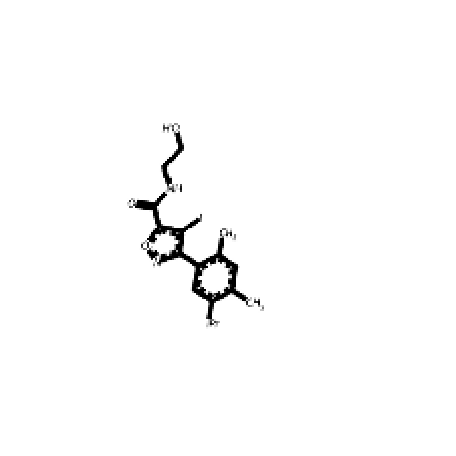 Cc1cc(C)c(C(C)C)cc1-c1noc(C(=O)NCCO)c1I